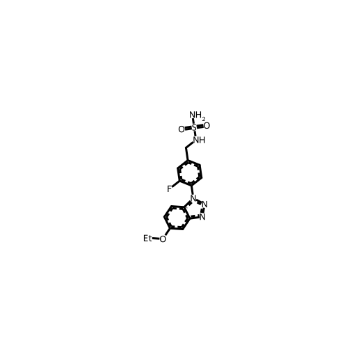 CCOc1ccc2c(c1)nnn2-c1ccc(CNS(N)(=O)=O)cc1F